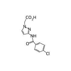 O=C(O)Cn1ccc(NC(=O)c2ccc(Cl)cc2)n1